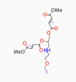 COC(=O)/C=C/C(=O)OCC(CNCCOCI)OC(=O)/C=C/C(=O)OC